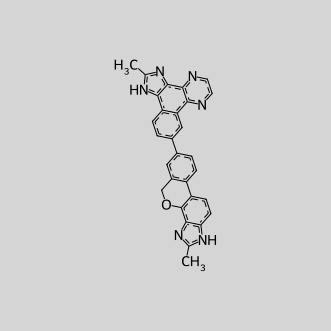 Cc1nc2c3c(ccc2[nH]1)-c1ccc(-c2ccc4c(c2)c2nccnc2c2nc(C)[nH]c42)cc1CO3